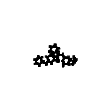 Cc1cc(CN2C(=O)C3(CCN(Cc4ccccc4)CC3)c3ccccc32)cc(C(F)(F)F)c1